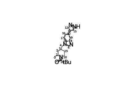 CC1CC(Cn2cnc3cc(-c4cn[nH]c4)ccc32)CCN1C(=O)C(C)(C)C